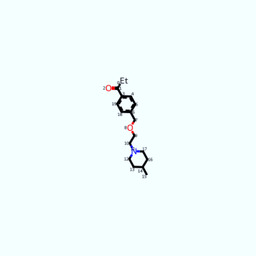 CCC(=O)c1ccc(COCCN2CCC(C)CC2)cc1